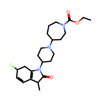 CCOC(=O)N1CCCC(N2CCC(N3C(=O)C(C)C4=C3CC(F)C=C4)CC2)CC1